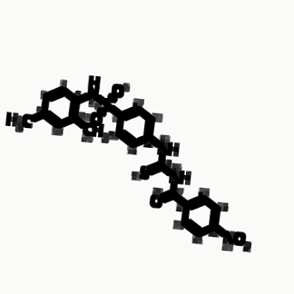 Cc1ccc(NS(=O)(=O)c2ccc(NC(=S)NC(=O)c3ccc([N+](=O)[O-])cc3)cc2)c(C)c1